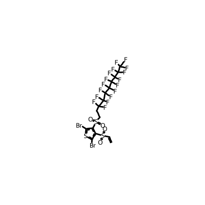 C=CS(=O)(=O)c1c(Br)sc(Br)c1S(=O)(=O)CCC(F)(F)C(F)(F)C(F)(F)C(F)(F)C(F)(F)C(F)(F)C(F)(F)C(F)(F)F